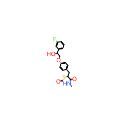 CNC(=O)C(Cc1ccc(OCC(O)c2cccc(F)c2)cc1)SC=O